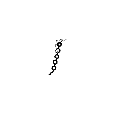 C=CCCC1CCC(C2CCC(C3CCC(C4CCC(c5ccc(OCCC)c(F)c5F)CO4)CC3)CC2)CC1